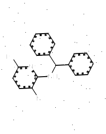 O=[N+]([O-])c1ccc(Br)nc1NC(c1ccccc1)c1ccccc1